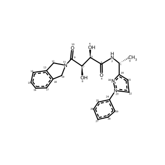 C[C@@H](NC(=O)[C@H](O)[C@@H](O)C(=O)N1Cc2ccccc2C1)c1ccn(-c2ccccc2)n1